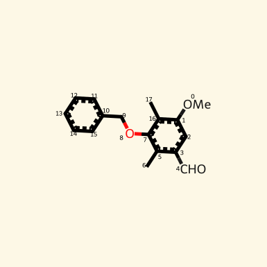 COc1cc(C=O)c(C)c(OCc2ccccc2)c1C